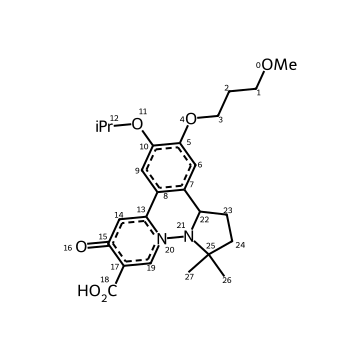 COCCCOc1cc2c(cc1OC(C)C)-c1cc(=O)c(C(=O)O)cn1N1C2CCC1(C)C